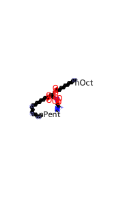 CCCCC/C=C\C/C=C\C/C=C\CCCCCCC(=O)O[C@H](COC(=O)CCCCCCC/C=C\CCCCCCCC)COP(=O)([O-])OCC[N+](C)(C)C